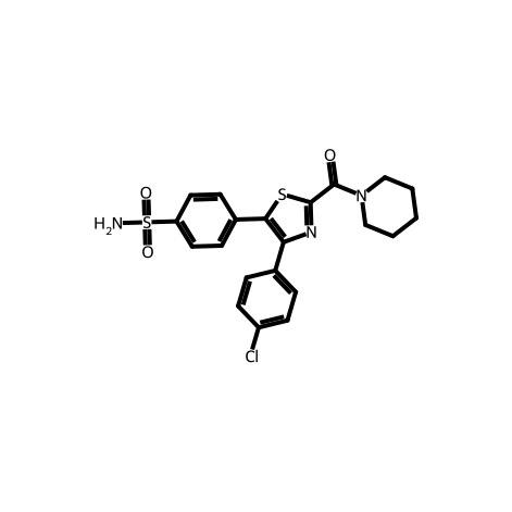 NS(=O)(=O)c1ccc(-c2sc(C(=O)N3CCCCC3)nc2-c2ccc(Cl)cc2)cc1